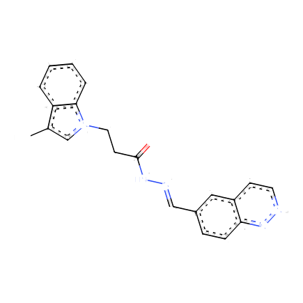 Cc1cn(CCC(=O)NN=Cc2ccc3nnccc3c2)c2ccccc12